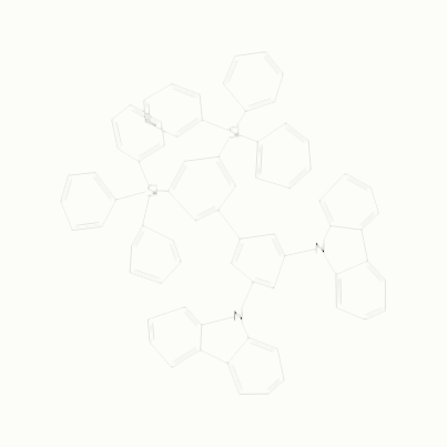 c1ccc([Si](c2ccccc2)(c2ccccc2)c2cc(-c3cc(-n4c5ccccc5c5ccccc54)cc(-n4c5ccccc5c5ccccc54)c3)cc([Si](c3ccccc3)(c3ccccc3)c3ccccc3)c2)cc1